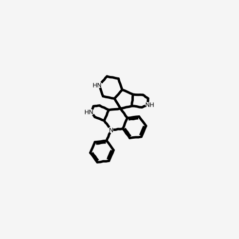 c1ccc(N2c3ccccc3C3(C4CNCCC4C4CCNCC43)C3CCNCC32)cc1